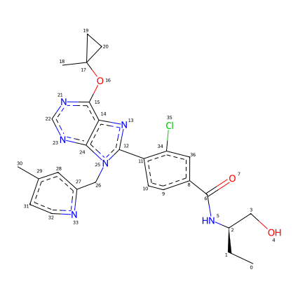 CC[C@H](CO)NC(=O)c1ccc(-c2nc3c(OC4(C)CC4)ncnc3n2Cc2cc(C)ccn2)c(Cl)c1